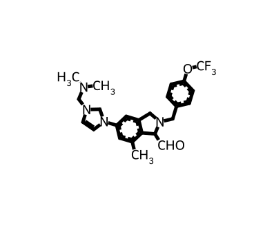 Cc1cc(N2C=CN(CN(C)C)C2)cc2c1C(C=O)N(Cc1ccc(OC(F)(F)F)cc1)C2